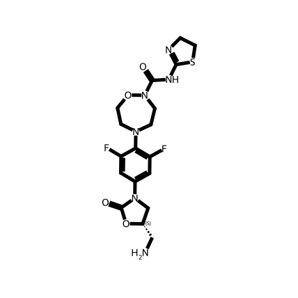 NC[C@H]1CN(c2cc(F)c(N3CCON(C(=O)NC4=NCCS4)CC3)c(F)c2)C(=O)O1